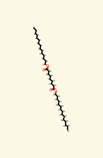 CCCCCCCCCCCCCCCOC(=O)CCCCCCCC(=O)OCCCCCCCCCCCCCCC